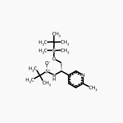 Cc1ccc([C@@H](CO[Si](C)(C)C(C)(C)C)N[S@@+]([O-])C(C)(C)C)cn1